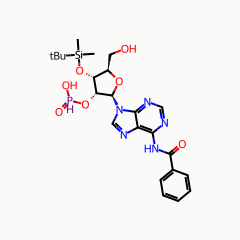 CC(C)(C)[Si](C)(C)O[C@H]1[C@@H](O[PH](=O)O)[C@H](n2cnc3c(NC(=O)c4ccccc4)ncnc32)O[C@@H]1CO